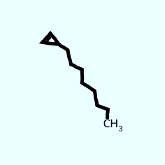 CCCCCCCCC1C=C1